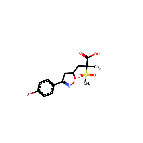 CC(CC1CC(c2ccc(Br)cc2)=NO1)(C(=O)O)S(C)(=O)=O